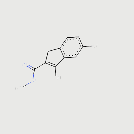 CCCNC(=N)C1=C(C)c2cc(C(F)(F)F)ccc2C1